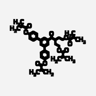 C=C(C)C(=O)OCCC(CCOC(=O)C(=C)C)C(=O)c1cc(-c2ccc(OC(=O)C(=C)C)cc2)cc(-c2ccc(OC(=O)C(=C)C)cc2)c1